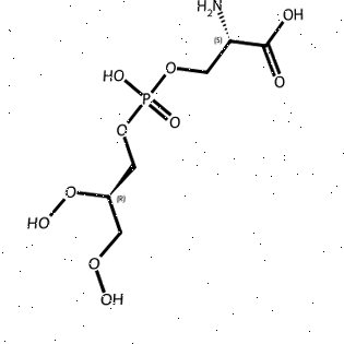 N[C@@H](COP(=O)(O)OC[C@@H](COO)OO)C(=O)O